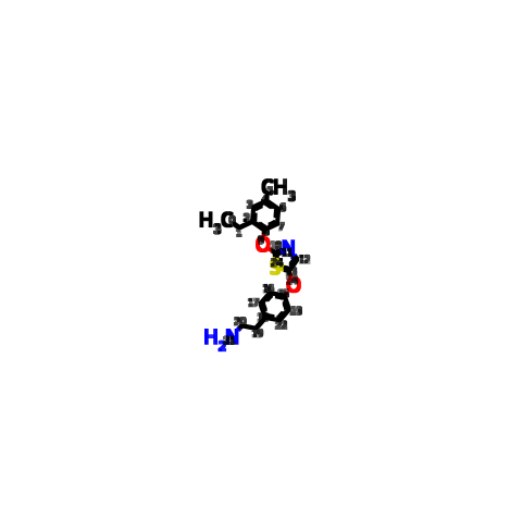 CCc1cc(C)ccc1Oc1ncc(Oc2ccc(CCN)cc2)s1